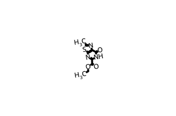 CCOC(=O)c1nc2sc(C)nc2c(=O)[nH]1